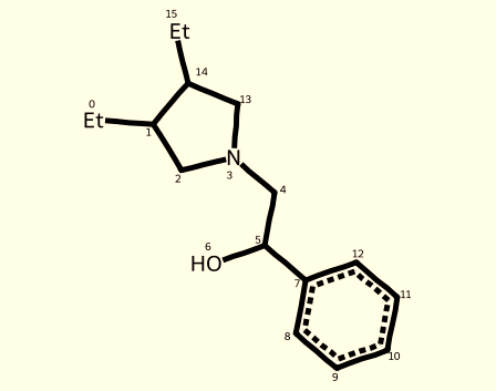 CCC1CN(CC(O)c2ccccc2)CC1CC